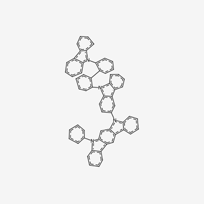 c1ccc(-n2c3ccccc3c3cc4c5ccccc5n(-c5ccc6c(c5)c5ccccc5n6-c5ccccc5-c5ccccc5-n5c6ccccc6c6ccccc65)c4cc32)cc1